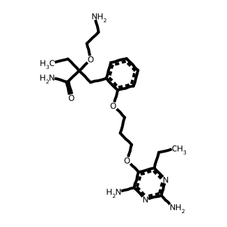 CCc1nc(N)nc(N)c1OCCCOc1ccccc1CC(CC)(OCCN)C(N)=O